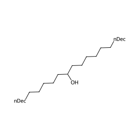 CCCCCCCCCCCCCCCCC(O)CCCCCCCCCCCCCCC